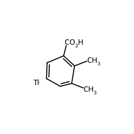 Cc1cccc(C(=O)O)c1C.[Tl]